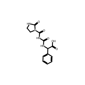 O=C(NC(=O)N1CCNC1=O)NC(C(=O)O)c1ccccc1